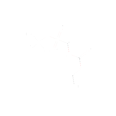 CCOC(=O)OCS(=O)(=O)O[Si](C)(C)C